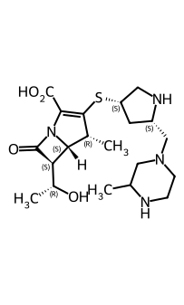 CC1CN(C[C@@H]2C[C@H](SC3=C(C(=O)O)N4C(=O)[C@H]([C@@H](C)O)[C@H]4[C@H]3C)CN2)CCN1